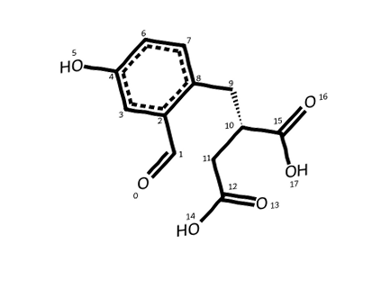 O=Cc1cc(O)ccc1C[C@@H](CC(=O)O)C(=O)O